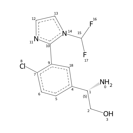 N[C@H](CO)c1ccc(Cl)c(-c2nccn2C(F)F)c1